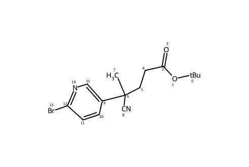 CC(C)(C)OC(=O)CCC(C)(C#N)c1ccc(Br)nc1